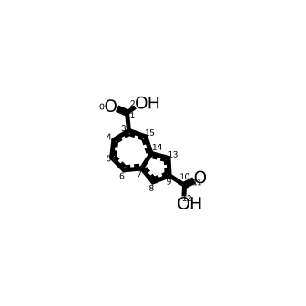 O=C(O)c1cccc2cc(C(=O)O)cc-2c1